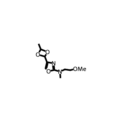 COCCN(C)c1nc(C2OC(C)O2)co1